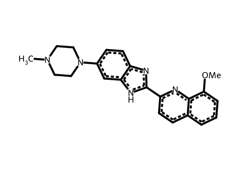 COc1cccc2ccc(-c3nc4ccc(N5CCN(C)CC5)cc4[nH]3)nc12